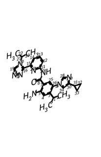 CC(C)c1cc(N)c(C(=O)Nc2cccc(-c3nncn3C(C)C)n2)cc1-n1cnc(C2CC2)c1